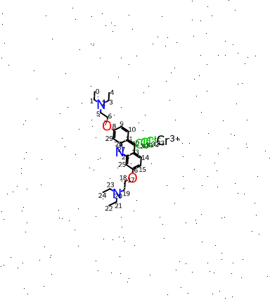 CCN(CC)CCOc1ccc2cc3ccc(OCCN(CC)CC)cc3nc2c1.[Cl-].[Cl-].[Cl-].[Cr+3]